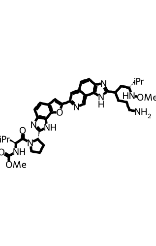 CON[C@H](CC(CCCN)c1nc2ccc3cc(-c4cc5ccc6nc([C@@H]7CCCN7C(=O)[C@@H](NC(=O)OC)C(C)C)[nH]c6c5o4)ncc3c2[nH]1)C(C)C